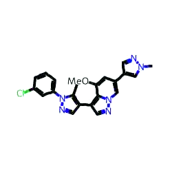 COc1cc(-c2cnn(C)c2)cn2ncc(-c3cnn(-c4cccc(Cl)c4)c3C)c12